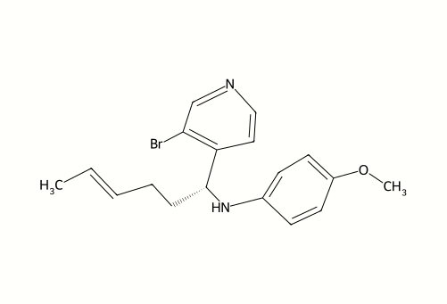 C/C=C/CC[C@@H](Nc1ccc(OC)cc1)c1ccncc1Br